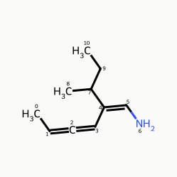 CC=C=C/C(=C\N)C(C)CC